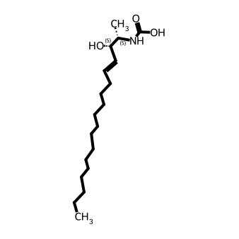 CCCCCCCCCCCCCC=C[C@H](O)[C@H](C)NC(=O)O